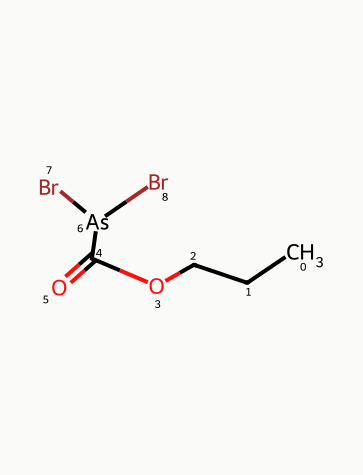 CCCOC(=O)[As](Br)Br